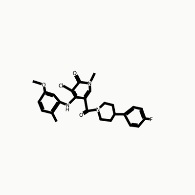 COc1ccc(C)c(Nc2c(C(=O)N3CCC(c4ccc(F)cc4)CC3)cn(C)c(=O)c2Cl)c1